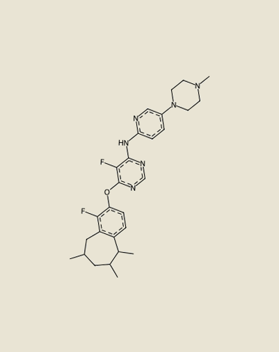 CC1Cc2c(ccc(Oc3ncnc(Nc4ccc(N5CCN(C)CC5)cn4)c3F)c2F)C(C)C(C)C1